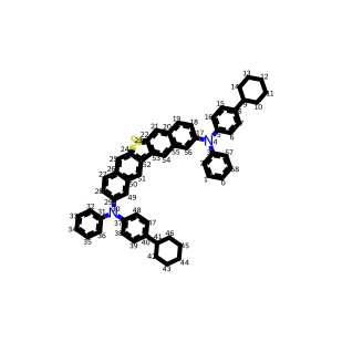 c1ccc(N(c2ccc(C3CCCCC3)cc2)c2ccc3cc4sc5cc6ccc(N(c7ccccc7)c7ccc(C8CCCCC8)cc7)cc6cc5c4cc3c2)cc1